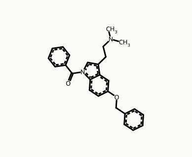 CN(C)CCc1cn(C(=O)c2ccccc2)c2ccc(OCc3ccccc3)cc12